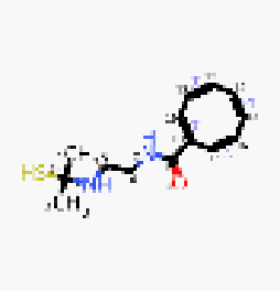 CC(C)(S)NCCNC(=O)C1=C/C=C\C=C/C=C\1